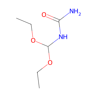 CCOC(NC(N)=O)OCC